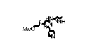 COCCN(C)c1cc(Nc2cc(C)[nH]n2)nc(-c2ccncc2)n1